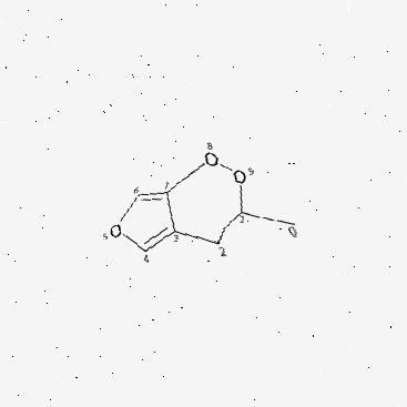 CC1Cc2cocc2OO1